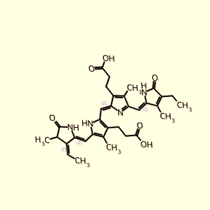 C/C=C1\C(=C\c2[nH]c(/C=C3N=C(/C=C4\NC(=O)C(CC)=C4C)C(C)=C\3CCC(=O)O)c(CCC(=O)O)c2C)NC(=O)C1C